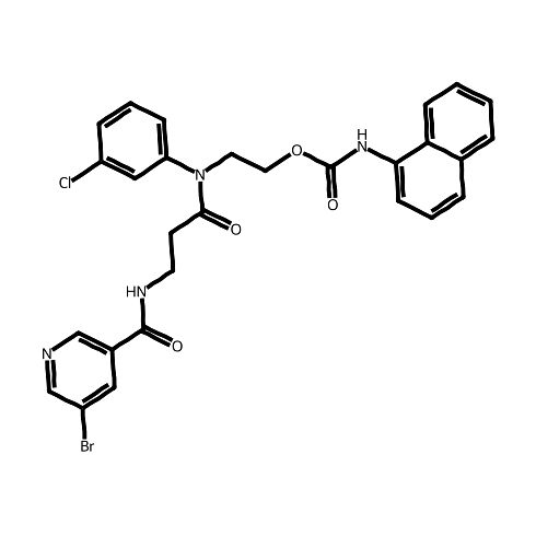 O=C(Nc1cccc2ccccc12)OCCN(C(=O)CCNC(=O)c1cncc(Br)c1)c1cccc(Cl)c1